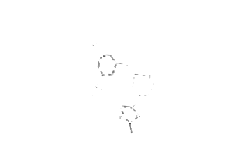 CC(C)(C)c1cc(C[C@H]2C[C@H](c3cc(=O)[nH]o3)CCN2)cc(C(C)(C)C)c1